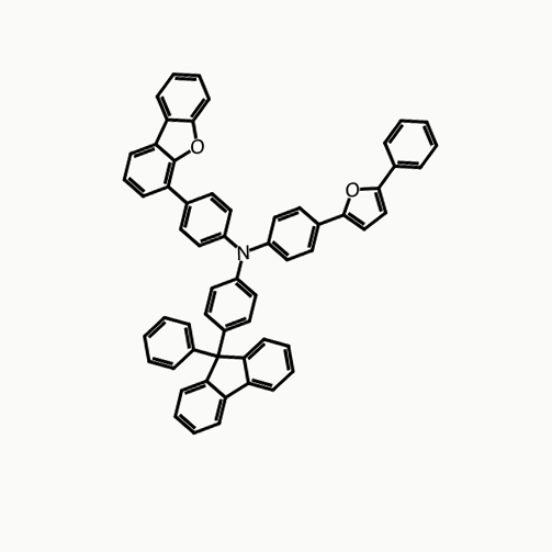 c1ccc(-c2ccc(-c3ccc(N(c4ccc(-c5cccc6c5oc5ccccc56)cc4)c4ccc(C5(c6ccccc6)c6ccccc6-c6ccccc65)cc4)cc3)o2)cc1